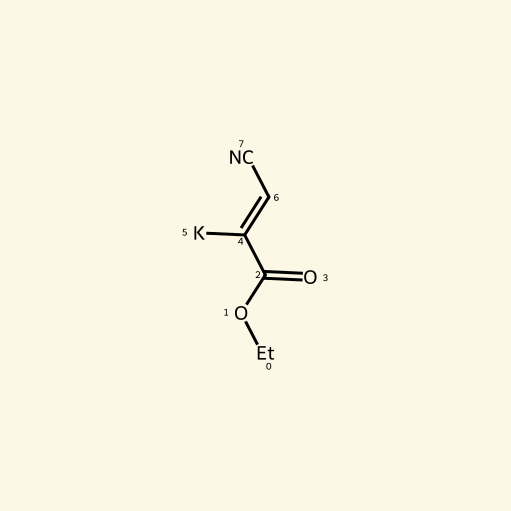 CCOC(=O)[C]([K])=CC#N